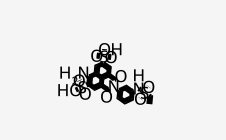 C=CS(=O)(=O)Nc1cccc(N2C(=O)c3cc(S(=O)(=O)O)cc4c(N)c(S(=O)(=O)O)cc(c34)C2=O)c1